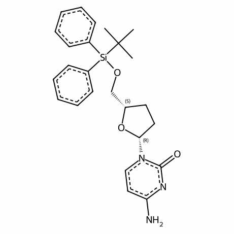 CC(C)(C)[Si](OC[C@@H]1CC[C@H](n2ccc(N)nc2=O)O1)(c1ccccc1)c1ccccc1